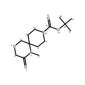 CN1C(=O)COCC12CCN(C(=O)OC(C)(C)C)CC2